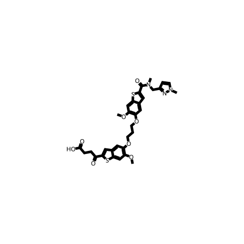 COc1cc2sc(C(=O)CCC(=O)O)cc2cc1OCCCOc1cc2cc(C(=O)N(C)Cc3ccn(C)n3)sc2cc1OC